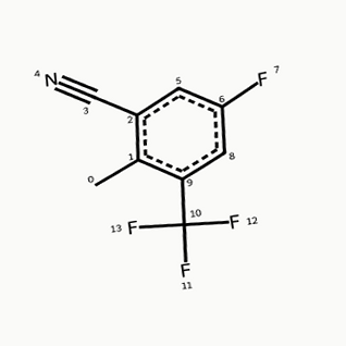 Cc1c(C#N)cc(F)cc1C(F)(F)F